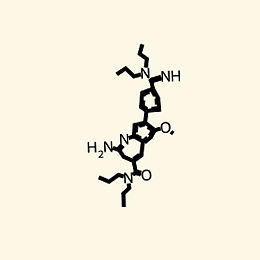 CCCN(CCC)C(=N)c1ccc(-c2cc3c(cc2OC)C=C(C(=O)N(CCC)CCC)CC(N)=N3)cc1